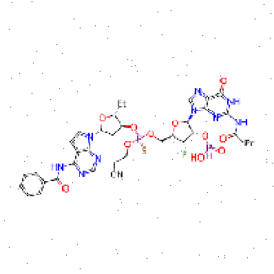 CC[C@H]1O[C@@H](n2ccc3c(NC(=O)c4ccccc4)ncnc32)C[C@@H]1OP(=S)(OCCC#N)OC[C@H]1O[C@@H](n2cnc3c(=O)[nH]c(NC(=O)C(C)C)nc32)[C@H](O[PH](=O)O)[C@@H]1F